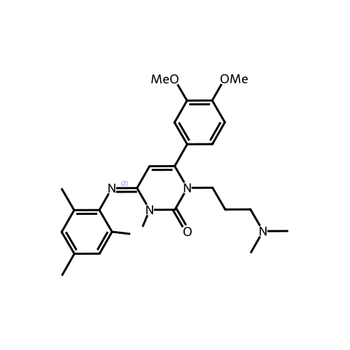 COc1ccc(-c2c/c(=N/c3c(C)cc(C)cc3C)n(C)c(=O)n2CCCN(C)C)cc1OC